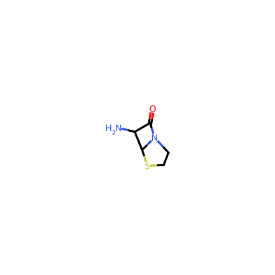 NC1C(=O)N2CCSC12